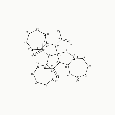 CCC(C(C(C)=O)C1CSCCCS1)(C(C(C)=O)C1CSCCCS1)C(C(C)=O)C1CSCCCS1